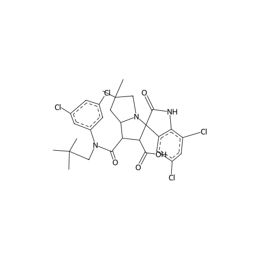 CC(C)(C)CN(C(=O)C1C2CC(C)(C)CN2C2(C(=O)Nc3c(Cl)cc(Cl)cc32)C1C(=O)O)c1cc(Cl)cc(Cl)c1